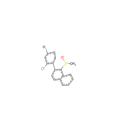 C[S+]([O-])c1c(-c2ccc(Br)cc2Cl)ccc2ccccc12